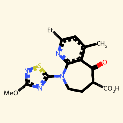 CCc1cc(C)c2c(n1)N(c1nc(OC)ns1)CCC(C(=O)O)C2=O